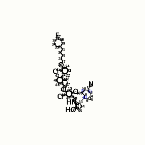 N#CC1=C/C2CC2/C=C/C(COc2cc(O[C@H]3CCc4c(-c5cccc(OCCCCCC6CCCC(F)CC6)c5Cl)cccc43)c(Cl)cc2CN[C@H]2CCC[C@@H]2O)=C\1